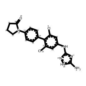 Nc1nc(Nc2cc(Cl)c(-c3ccc(N4CCCC4=O)cc3)c(Cl)c2)n[nH]1